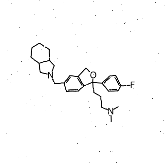 CN(C)CCCC1(c2ccc(F)cc2)OCc2cc(CN3CC4CCCCC4C3)ccc21